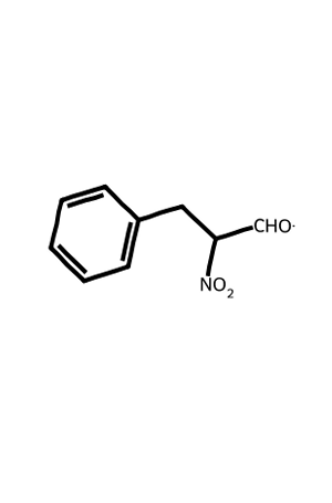 O=[C]C(Cc1ccccc1)[N+](=O)[O-]